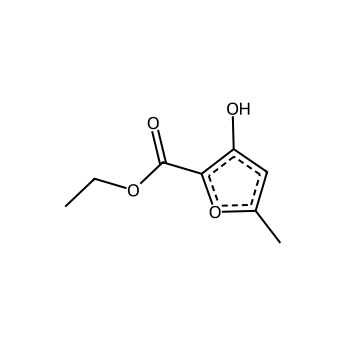 CCOC(=O)c1oc(C)cc1O